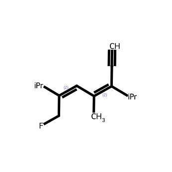 C#C/C(=C(C)\C=C(/CF)C(C)C)C(C)C